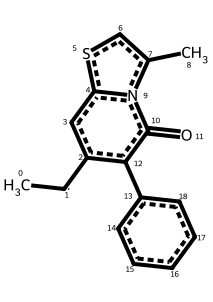 C[CH]c1cc2scc(C)n2c(=O)c1-c1ccccc1